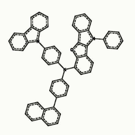 c1ccc(-n2c3ccccc3c3oc4c(N(c5ccc(-c6cccc7ccccc67)cc5)c5ccc(-n6c7ccccc7c7ccccc76)cc5)cccc4c32)cc1